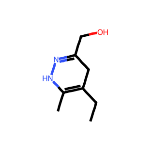 CCC1=C(C)NN=C(CO)C1